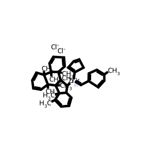 CC1=CC=CC2[CH](/[Zr+2](=[CH]/c3ccc(C)cc3)[C]3=CC=CC3)C3(C)C4(C)C=CC=CC4(C)C4(C)C=CC=CC4(C)C3(C)C12C.[Cl-].[Cl-]